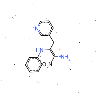 NC(=C(Cc1cccnc1)Nc1ccccc1)[N+](=O)[O-]